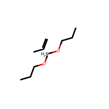 C=CC.CCCO[SiH2]OCCC